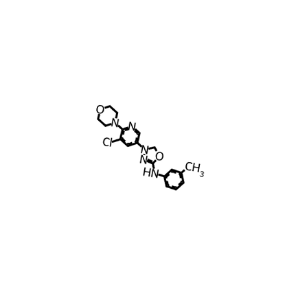 Cc1cccc(NC2=NN(c3cnc(N4CCOCC4)c(Cl)c3)CO2)c1